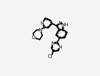 Clc1cnc(-c2ccc3[nH]nc(-c4ccnc(N5CCOCC5)c4)c3c2)nc1